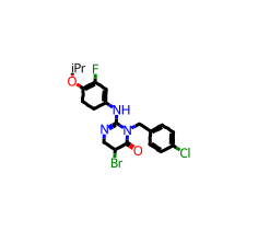 CC(C)OC1=C(F)C=C(NC2=NCC(Br)C(=O)N2Cc2ccc(Cl)cc2)CC1